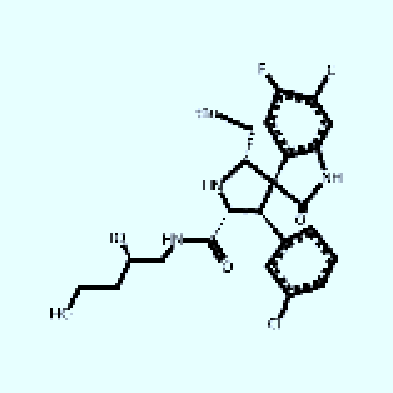 CC(C)(C)C[C@H]1N[C@@H](C(=O)NC[C@H](O)CCO)[C@H](c2cccc(Cl)c2)[C@@]12C(=O)Nc1cc(Cl)c(F)cc12